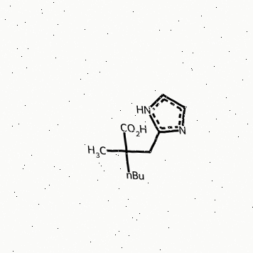 CCCCC(C)(Cc1ncc[nH]1)C(=O)O